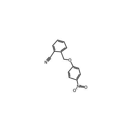 N#Cc1ccccc1COc1ccc([N+](=O)[O-])cc1